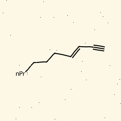 C#CC=CCCCCCC